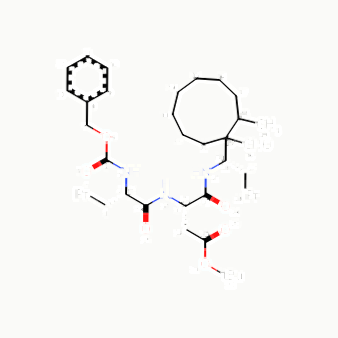 CC(C)C[C@H](NC(=O)OCc1ccccc1)C(=O)N[C@@H](CC(=O)OC(C)(C)C)C(=O)N[C@@H](CC(C)C)C1(C=O)CCCCCCCC1C